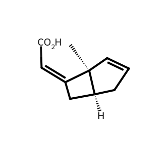 C[C@]12C=CC[C@H]1C/C2=C/C(=O)O